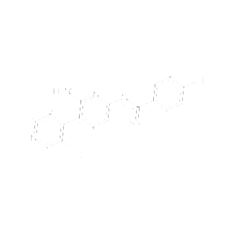 Nc1nc(NC(=O)c2ccc(Cl)cc2)ccc1-c1ccncc1Cl